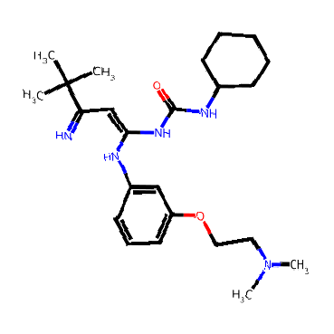 CN(C)CCOc1cccc(N/C(=C\C(=N)C(C)(C)C)NC(=O)NC2CCCCC2)c1